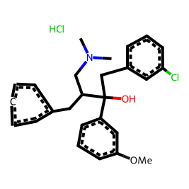 COc1cccc(C(O)(Cc2cccc(Cl)c2)C(Cc2ccccc2)CN(C)C)c1.Cl